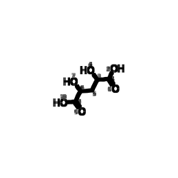 O=C(O)C(O)CC(O)C(=O)O